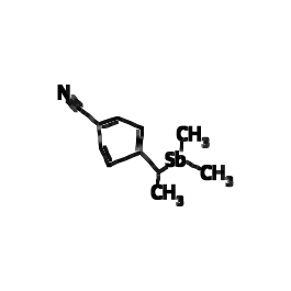 C[CH](c1ccc(C#N)cc1)[Sb]([CH3])[CH3]